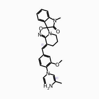 C=CN(/C=C(/C)N)c1ccc(/C=C2\CCCN3C2=NOC32C(=O)N(C)c3ccccc32)cc1OC